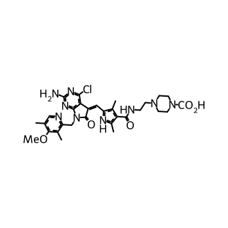 COc1c(C)cnc(CN2C(=O)/C(=C\c3[nH]c(C)c(C(=O)NCCN4CCN(C(=O)O)CC4)c3C)c3c(Cl)nc(N)nc32)c1C